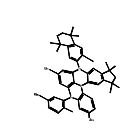 Cc1ccc(C(C)(C)C)cc1N1c2cc(C(C)(C)C)ccc2B2c3cc4c(cc3N(c3cc5c(cc3C)C(C)(C)CCC5(C)C)c3cc(C(C)(C)C)cc1c32)C(C)(C)CC4(C)C